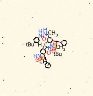 CC(NC(=O)Nc1ccc(C(C)(C)C)cc1)c1ccc(N(N(C(=O)OC(C)(C)C)C(C)c2ccc(NS(C)(=O)=O)c(C#Cc3ccccc3)c2)S(C)(=O)=O)c(C#Cc2ccccc2)c1